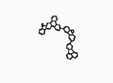 c1cc2c3c(cccc3c1)-c1cc(-c3ccc4oc5ccc(-c6ccc7c(c6)c6ccccc6c6cc8sc9ccccc9c8cc76)cc5c4c3)ccc1-2